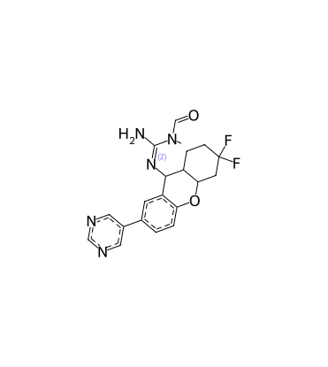 CN(C=O)/C(N)=N\C1c2cc(-c3cncnc3)ccc2OC2CC(F)(F)CCC21